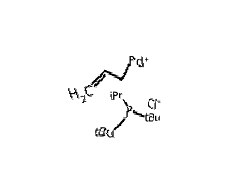 C=C[CH2][Pd+].CC(C)P(C(C)(C)C)C(C)(C)C.[Cl-]